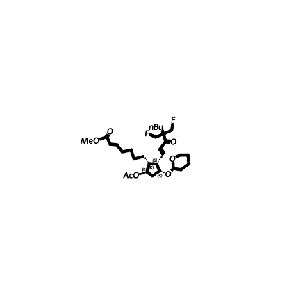 CCCCC(CF)(CF)C(=O)C=C[C@H]1[C@@H](CCCCCCC(=O)OC)[C@H](OC(C)=O)C[C@H]1OC1CCCCO1